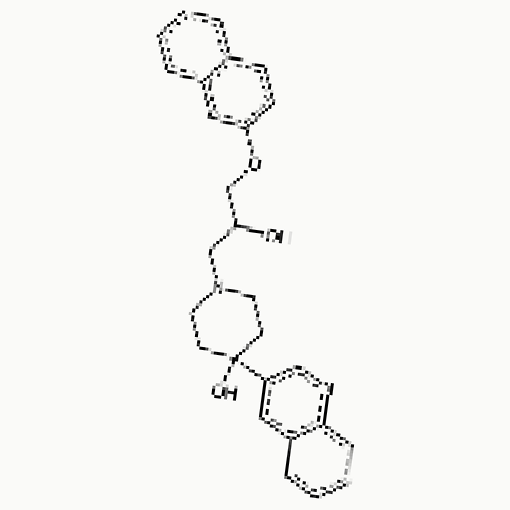 O[C@H](COc1ccc2ccccc2c1)CN1CCC(O)(c2cnc3ccccc3c2)CC1